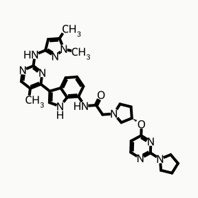 Cc1cnc(Nc2cc(C)n(C)n2)nc1-c1c[nH]c2c(NC(=O)CN3CC[C@H](Oc4ccnc(N5CCCC5)n4)C3)cccc12